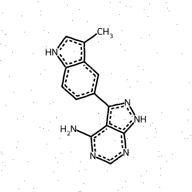 Cc1c[nH]c2ccc(-c3n[nH]c4ncnc(N)c34)cc12